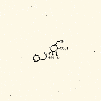 O=C(Cc1ccccc1)N[C@@H]1C(=O)N2C(C(=O)O)C(CO)=CS[C@@H]12